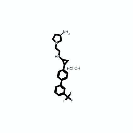 Cl.Cl.N[C@@H]1CCN(CCNC2CC2c2ccc(-c3cccc(C(F)(F)F)c3)cc2)C1